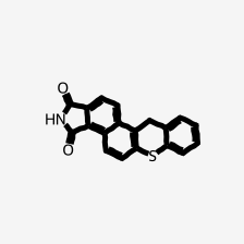 O=C1NC(=O)c2c1ccc1c3c(ccc21)Sc1ccccc1C3